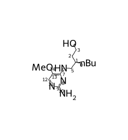 CCCC[C@H](CCO)CNc1nc(N)ncc1OC